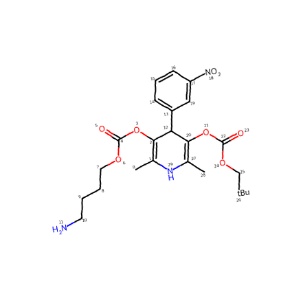 CC1=C(OC(=O)OCCCCN)C(c2cccc([N+](=O)[O-])c2)C(OC(=O)OCC(C)(C)C)=C(C)N1